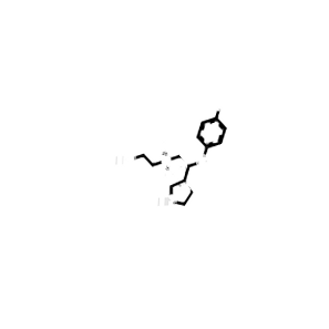 O=S(=O)(CCO)C[C@@H](Oc1ccc(C(F)(F)F)cc1)[C@H]1CCNC1